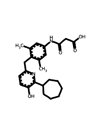 Cc1cc(NC(=O)CC(=O)O)cc(C)c1Cc1ccc(O)c(C2CCCCCC2)n1